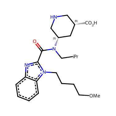 COCCCCn1c(C(=O)N(CC(C)C)[C@@H]2CNC[C@H](C(=O)O)C2)nc2ccccc21